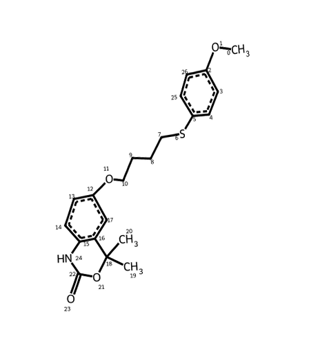 COc1ccc(SCCCCOc2ccc3c(c2)C(C)(C)OC(=O)N3)cc1